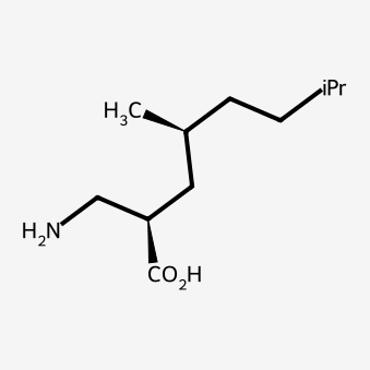 CC(C)CC[C@H](C)C[C@H](CN)C(=O)O